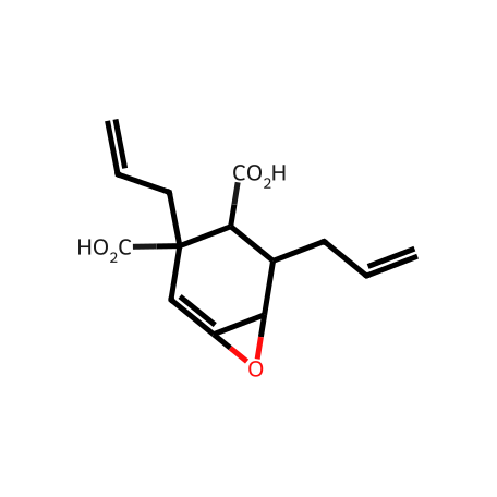 C=CCC1C2OC2=CC(CC=C)(C(=O)O)C1C(=O)O